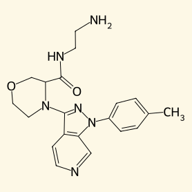 Cc1ccc(-n2nc(N3CCOCC3C(=O)NCCN)c3ccncc32)cc1